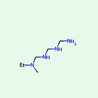 CCN(C)CNCNCN